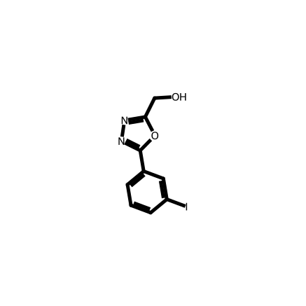 OCc1nnc(-c2cccc(I)c2)o1